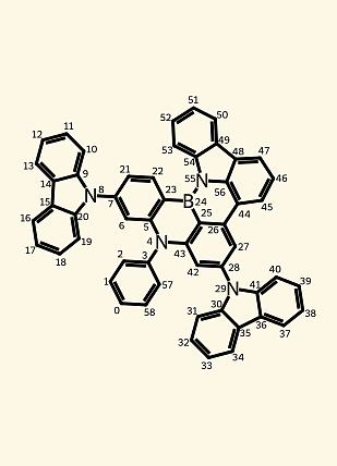 c1ccc(N2c3cc(-n4c5ccccc5c5ccccc54)ccc3B3c4c(cc(-n5c6ccccc6c6ccccc65)cc42)-c2cccc4c5ccccc5n3c24)cc1